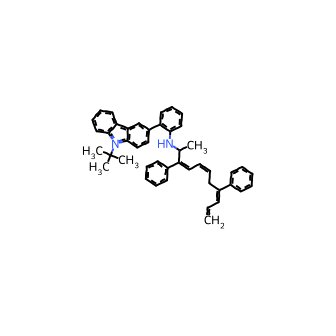 C=C/C=C(\C/C=C\C=C(\c1ccccc1)C(C)Nc1ccccc1-c1ccc2c(c1)c1ccccc1n2C(C)(C)C)c1ccccc1